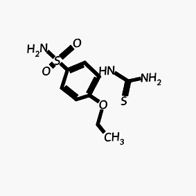 CCOc1ccc(S(N)(=O)=O)cc1NC(N)=S